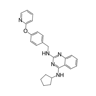 c1ccc(Oc2ccc(CNc3nc(NC4CCCC4)c4ccccc4n3)cc2)nc1